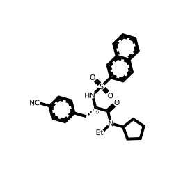 CCN(C(=O)[C@H](Cc1ccc(C#N)cc1)NS(=O)(=O)c1ccc2ccccc2c1)C1CCCC1